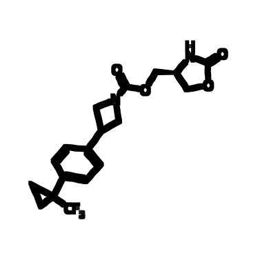 O=C1N[C@H](COC(=O)N2CC(c3ccc(C4(C(F)(F)F)CC4)cc3)C2)CO1